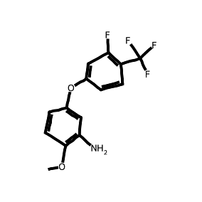 COc1ccc(Oc2ccc(C(F)(F)F)c(F)c2)cc1N